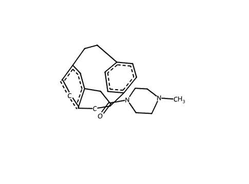 CN1CCN(C(=O)Cc2cc3ccc2CCc2ccc(cc2)CC3)CC1